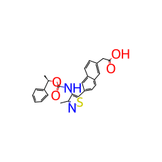 Cc1nsc(-c2ccc3cc(CC(=O)O)ccc3c2)c1NC(=O)O[C@H](C)c1ccccc1